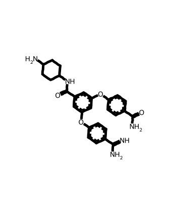 N=C(N)c1ccc(Oc2cc(Oc3ccc(C(N)=O)cc3)cc(C(=O)NC3CCC(N)CC3)c2)cc1